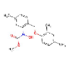 COC(=O)N(O)c1cc(C)ccc1COc1ccc(C)cc1C